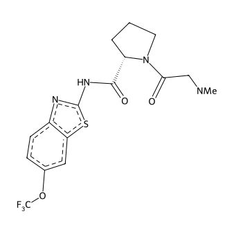 CNCC(=O)N1CCC[C@H]1C(=O)Nc1nc2ccc(OC(F)(F)F)cc2s1